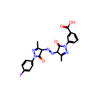 CC1=NN(c2ccc(I)cc2)C(=O)C1N=NC1C(=O)N(c2cccc(C(=O)O)c2)N=C1C